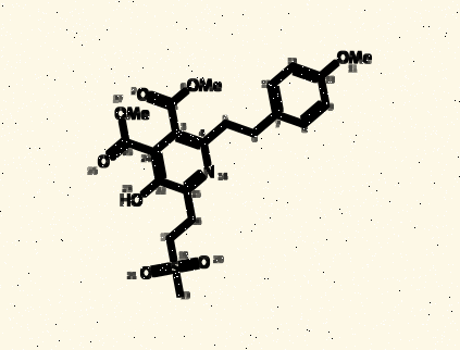 COC(=O)c1c(CCc2ccc(OC)cc2)nc(CCS(C)(=O)=O)c(O)c1C(=O)OC